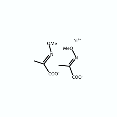 CON=C(C)C(=O)[O-].CON=C(C)C(=O)[O-].[Ni+2]